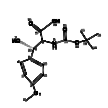 COc1ccc([C@H](O)C(NC(=O)OC(C)(C)C)C(=O)O)cc1